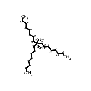 CCCCCCCCP([SeH])([SeH])(CCCCCCCC)CCCCCCCC